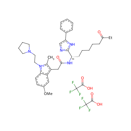 CCC(=O)CCCCC[C@H](NC(=O)Cc1c(C)n(CCN2CCCC2)c2ccc(OC)cc12)c1ncc(-c2ccccc2)[nH]1.O=C(O)C(F)(F)F.O=C(O)C(F)(F)F